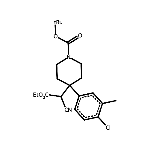 CCOC(=O)C(C#N)C1(c2ccc(Cl)c(C)c2)CCN(C(=O)OC(C)(C)C)CC1